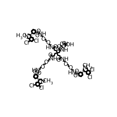 CN1Cc2c(Cl)cc(Cl)cc2[C@H](c2cccc(S(=O)(=O)NCCOCCOCCNC(=O)CCC(CCC(=O)NCCOCCOCCNS(=O)(=O)c3cccc([C@@H]4CN(C)Cc5c(Cl)cc(Cl)cc54)c3)(CCC(=O)NCCOCCOCCNS(=O)(=O)c3cccc([C@@H]4CN(C)Cc5c(Cl)cc(Cl)cc54)c3)CC(=O)N[C@@H](CC(=O)O)C(=O)O)c2)C1